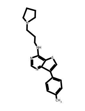 Cc1ccc(-c2csc3c(NCCCN4CCCC4)ncnc23)cc1